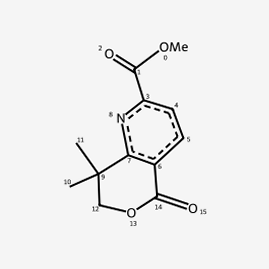 COC(=O)c1ccc2c(n1)C(C)(C)COC2=O